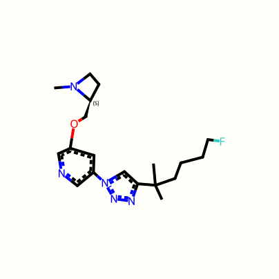 CN1CC[C@H]1COc1cncc(-n2cc(C(C)(C)CCCCF)nn2)c1